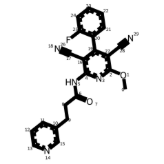 COc1nc(NC(=O)CCc2cccnc2)c(C#N)c(-c2ccccc2F)c1C#N